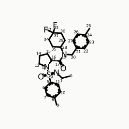 CCN=S(=O)(c1ccc(C)cc1)N1CCC[C@H]1C(=O)N(Cc1ccc(C)cc1)C1CCC(F)(F)CC1